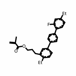 C=C(C)C(=O)OCCCc1cc(-c2ccc(-c3ccc(CC)cc3F)cc2)ccc1CC